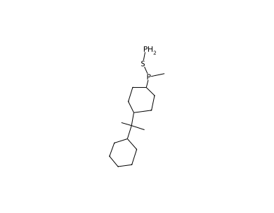 CP(SP)C1CCC(C(C)(C)C2CCCCC2)CC1